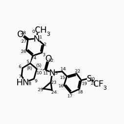 Cn1ccc([C@@H]2CCNC[C@H]2C(=O)N(Cc2cccc(SC(F)(F)F)c2)C2CC2)cc1=O